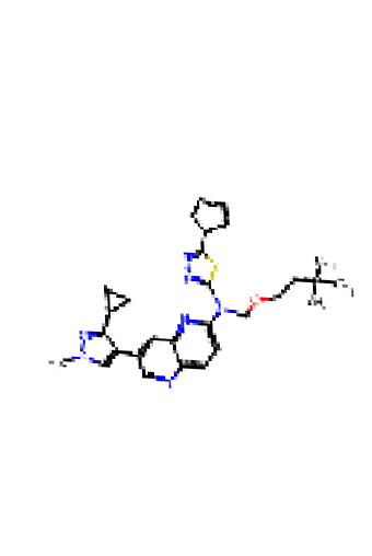 Cn1cc(-c2cnc3ccc(N(COCC[Si](C)(C)C)c4nnc(C5CCCC5)s4)nc3c2)c(C2CC2)n1